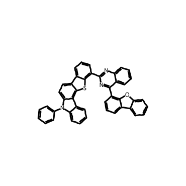 c1ccc(-n2c3ccccc3c3c4sc5c(-c6nc(-c7cccc8c7oc7ccccc78)c7ccccc7n6)cccc5c4ccc32)cc1